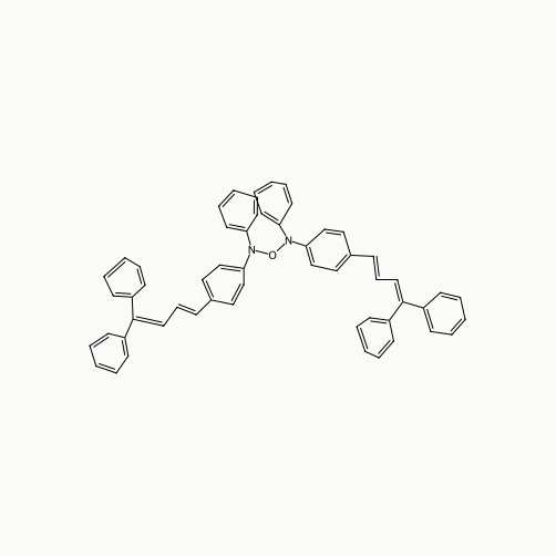 C(=Cc1ccc(N(ON(c2ccccc2)c2ccc(C=CC=C(c3ccccc3)c3ccccc3)cc2)c2ccccc2)cc1)C=C(c1ccccc1)c1ccccc1